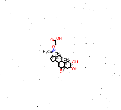 CC(=NOCC(=O)O)[C@H]1CCC2C3=CC(=O)[C@@H]4C[C@@H](O)[C@@H](O)C[C@]4(C)C3CC[C@@]21C